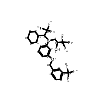 OC(CN(c1cccc(OCc2cccc(C(F)(F)F)c2)c1)C(C1CCCCC1)C(F)(F)F)C(F)(F)F